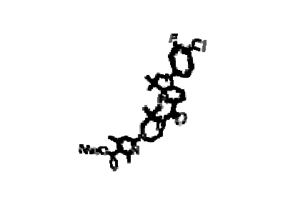 COC(=O)c1c(C)cc(N2CCN(C(=O)c3ccc4c(n3)C(C)(C)CN4c3ccc(Cl)c(F)c3)C(C)(C)C2)nc1C